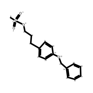 CS(=O)(=O)OCCCc1ccc(OCc2ccccc2)cc1